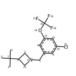 CC(C)(C)C1CN(Cc2cc(Cl)cc(OC(F)(F)F)c2)C1